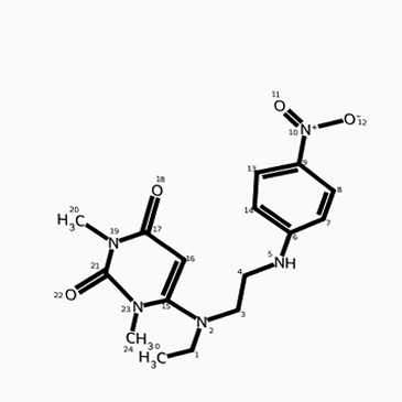 CCN(CCNc1ccc([N+](=O)[O-])cc1)c1cc(=O)n(C)c(=O)n1C